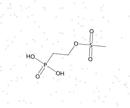 CS(=O)(=O)OCCP(=O)(O)O